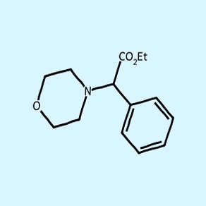 CCOC(=O)C(c1ccccc1)N1CCOCC1